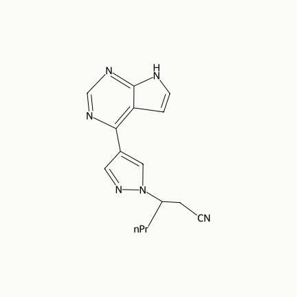 CCCC(CC#N)n1cc(-c2ncnc3[nH]ccc23)cn1